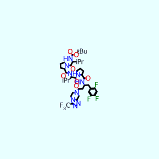 CC(C)C(NC(=O)OC(C)(C)C)C(=O)N1CCCC1C(=O)NC(C(=O)N1CCCC1C(=O)NC(CC(=O)N1CCn2c(nnc2C(F)(F)F)C1)Cc1cc(F)c(F)cc1F)C(C)C